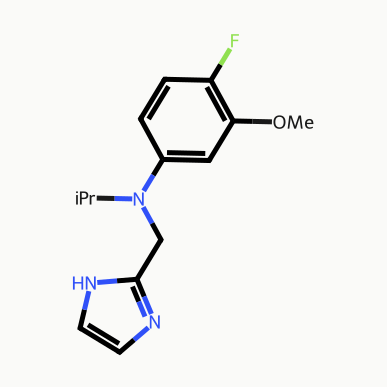 COc1cc(N(Cc2ncc[nH]2)C(C)C)ccc1F